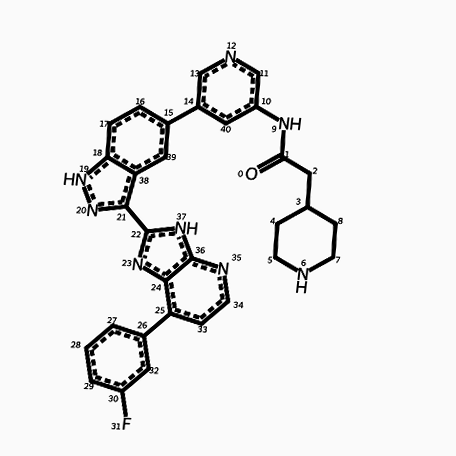 O=C(CC1CCNCC1)Nc1cncc(-c2ccc3[nH]nc(-c4nc5c(-c6cccc(F)c6)ccnc5[nH]4)c3c2)c1